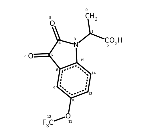 CC(C(=O)O)N1C(=O)C(=O)c2cc(OC(F)(F)F)ccc21